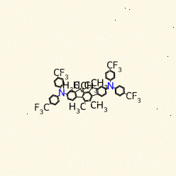 Cc1c(C)c2c(c3c1-c1ccc(N(c4ccc(C(F)(F)F)cc4)c4ccc(C(F)(F)F)cc4)cc1C3(C)C)C(C)(C)c1cc(N(c3ccc(C(F)(F)F)cc3)c3ccc(C(F)(F)F)cc3)ccc1-2